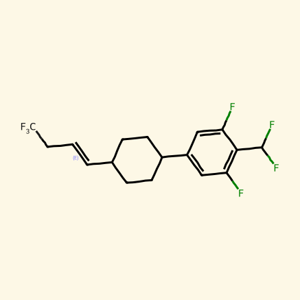 Fc1cc(C2CCC(/C=C/CC(F)(F)F)CC2)cc(F)c1C(F)F